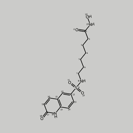 O=C(CCCCCCNS(=O)(=O)c1ccc2[nH]c(=O)ccc2c1)NO